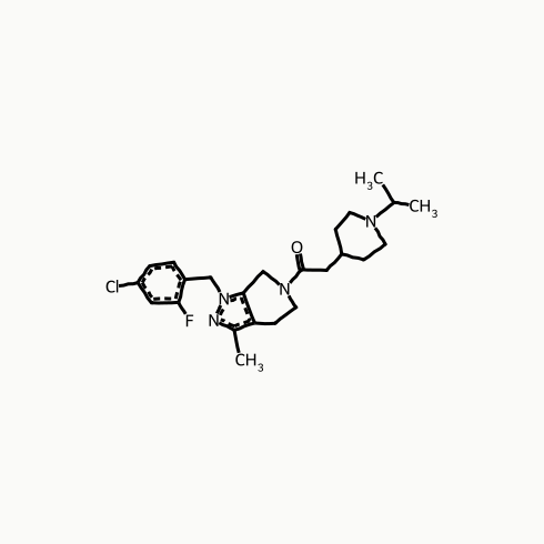 Cc1nn(Cc2ccc(Cl)cc2F)c2c1CCN(C(=O)CC1CCN(C(C)C)CC1)C2